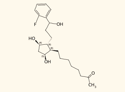 CC(=O)CCCCCC[C@@H]1[C@@H](CCC(O)c2ccccc2F)[C@H](O)C[C@@H]1O